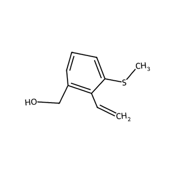 C=Cc1c(CO)cccc1SC